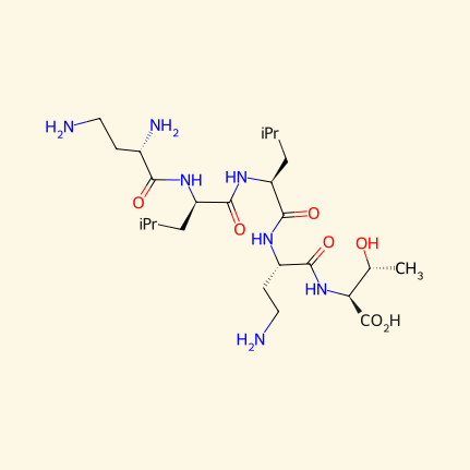 CC(C)C[C@H](NC(=O)[C@@H](CC(C)C)NC(=O)[C@@H](N)CCN)C(=O)N[C@@H](CCN)C(=O)N[C@H](C(=O)O)[C@@H](C)O